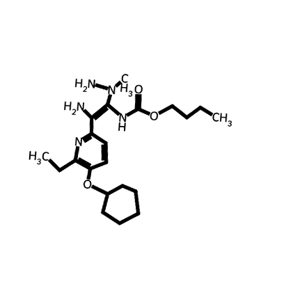 CCCCOC(=O)N/C(=C(/N)c1ccc(OC2CCCCC2)c(CC)n1)N(C)N